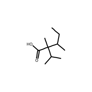 CCC(C)C(C)(C(=O)O)C(C)C